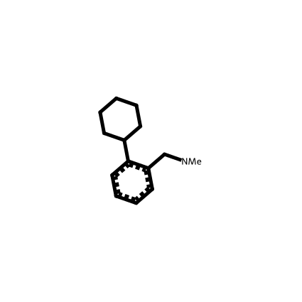 CNCc1ccccc1C1CCCCC1